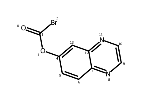 O=C(Br)Oc1ccc2nccnc2c1